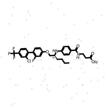 CCCC[C@@H](COc1ccc(-c2ccc(C(F)(F)F)cc2Cl)c(F)c1)Nc1ccc(C(=O)NCCC(=O)O)cc1